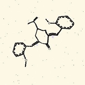 COc1ccccc1/C=C1\CC(C(C)C)C/C(=C\c2ccccc2OC)C1=O